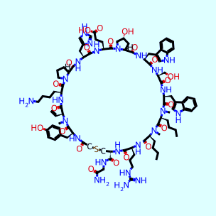 C=C[C@H]1C(=O)N[C@@H](CCCCN)C(=O)N2CCC[C@H]2C(=O)N[C@@H](Cc2c[nH]cn2)C(=O)N[C@@H](CCC(=O)O)C(=O)N2C[C@H](O)C[C@H]2C(=O)N[C@@H](Cc2c[nH]c3ccccc23)C(=O)N[C@@H](CO)C(=O)N[C@@H](Cc2c[nH]c3ccccc23)C(=O)N(C)[C@@H](CCCC)C(=O)N(C)[C@@H](CCCC)C(=O)N[C@@H](CCCNC(=N)N)C(=O)N[C@H](C(=O)NCC(N)=O)CSCC(=O)N[C@@H](Cc2ccc(O)cc2)C(=O)N1C